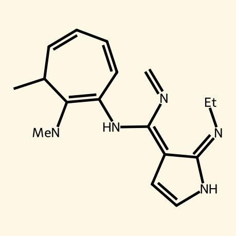 C=N/C(NC1=C(NC)C(C)C=CC=C1)=C1/C=CN/C1=N/CC